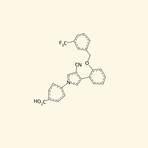 N#Cc1cn(-c2ccc(C(=O)O)cc2)cc1-c1ccccc1OCc1cccc(C(F)(F)F)c1